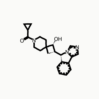 O=C(C1CC1)N1CCC2(CC1)C[C@@H]([C@H]1c3ccccc3-c3cncn31)[C@H]2O